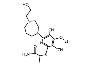 CCOc1c(C#N)c(SC(C)C(N)=O)nc(N2CCCN(CCO)CC2)c1C#N